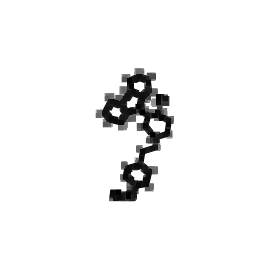 CCN1CCN(CCc2ccc(OC)cc2)CC1n1c2ccccc2c2ccccc21